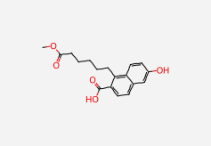 COC(=O)CCCCCc1c(C(=O)O)ccc2cc(O)ccc12